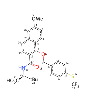 COc1ccc2c(OCc3ccc(SC(F)(F)F)cc3)c(C(=O)N[C@H](C(=O)O)C(C)(C)C)ccc2c1